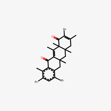 CC(=O)C1=C(C)CC2(C)CC3(C)Cc4c(C(C)C)cc(C(C)=O)c(C)c4C(=O)C3=C(C)C2(C)C1=O